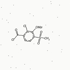 COc1c(S(C)(=O)=O)ccc(C(=O)Cl)c1Cl